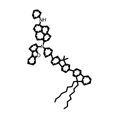 CCCCCCCCC1(CCCCCCCC)c2ccccc2-c2ccc(-c3ccc4c(c3)C(C)(C)c3cc(-c5ccc(N(c6ccc7ccc8c(Nc9ccccc9)ccc9ccc6c7c98)c6cccc7c6oc6ccccc67)cc5)ccc3-4)cc21